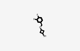 CC(C)C1CC(OCc2ccc(F)c(F)c2)C1